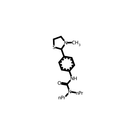 CCCN(CCC)C(=O)Nc1ccc(C2SCCN2C)cc1